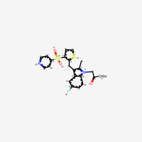 COC(=O)Cn1c(C)c(Cc2sccc2S(=O)(=O)c2ccncc2)c2cc(F)ccc21